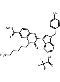 COC(=O)c1ccc2nc(-c3cn(Cc4ccc(C#N)cc4)c4ccccc34)c(=O)n(CCCCCN)c2c1.O=C(O)C(F)(F)F